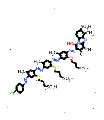 Cc1cc(N=Nc2cc(SCCCS(=O)(=O)O)c(N=Nc3cc(OCCCS(=O)(=O)O)c(N=Nc4c(C)c(C#N)c5nc6c(C)c(S(=O)(=O)O)ccc6n5c4O)cc3C)cc2C)c(SCCCS(=O)(=O)O)cc1N=Nc1ccc(Cl)cc1